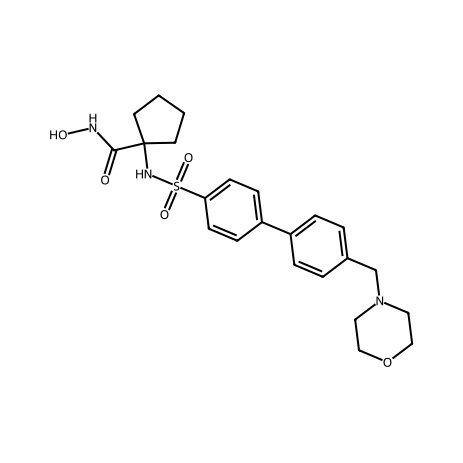 O=C(NO)C1(NS(=O)(=O)c2ccc(-c3ccc(CN4CCOCC4)cc3)cc2)CCCC1